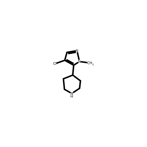 Cn1ncc(Cl)c1C1CCNCC1